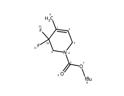 CC1=CCN(C(=O)OC(C)(C)C)CC1(F)F